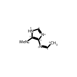 C/C=N\c1nc[nH]c1NC